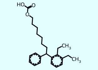 CCc1cccc(C(CCCCCCCOC(=O)O)c2ccccc2)c1CC